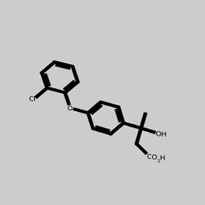 CC(O)(CC(=O)O)c1ccc(Oc2ccccc2Cl)cc1